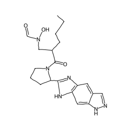 CCCCC(CN(O)C=O)C(=O)N1CCCC1c1nc2cc3cn[nH]c3cc2[nH]1